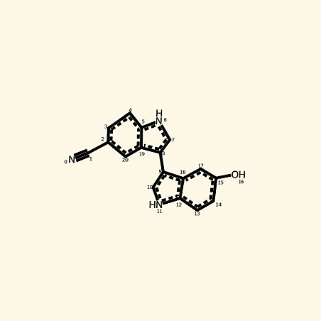 N#Cc1ccc2[nH]cc(-c3c[nH]c4ccc(O)cc34)c2c1